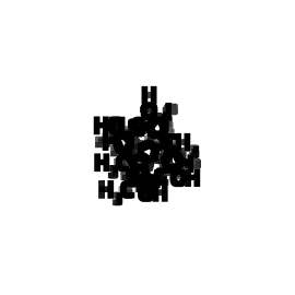 Cc1cc(C(C)(c2ccc(C(C)(c3cc(C)c(O)c(I)c3)c3cc(S)c(O)c(I)c3)cc2)c2cc(C)c(O)c(I)c2)cc(I)c1O